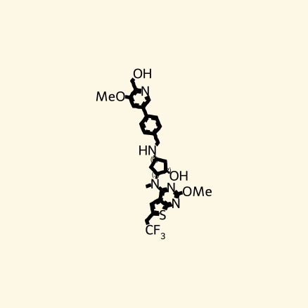 COc1nc(N(C)[C@H]2C[C@@H](NCc3ccc(-c4cnc(CO)c(OC)c4)cc3)C[C@H]2O)c2cc(CC(F)(F)F)sc2n1